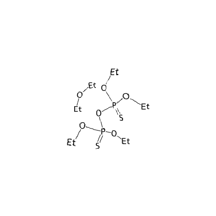 CCOCC.CCOP(=S)(OCC)OP(=S)(OCC)OCC